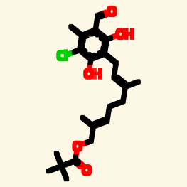 C/C(=C\Cc1c(O)c(Cl)c(C)c(C=O)c1O)CC/C=C(\C)COC(=O)C(C)(C)C